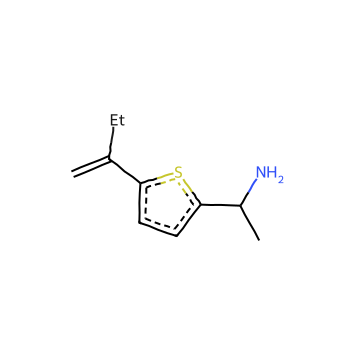 C=C(CC)c1ccc(C(C)N)s1